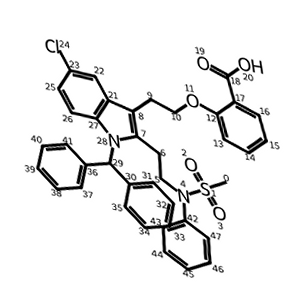 CS(=O)(=O)N(CCc1c(CCOc2ccccc2C(=O)O)c2cc(Cl)ccc2n1C(c1ccccc1)c1ccccc1)c1ccccc1